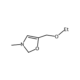 CCOCC1=CN(C)CO1